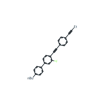 CCC#Cc1ccc(C#Cc2ccc(-c3ccc(CCCC)cc3)cc2F)cc1